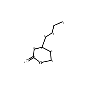 CCCCC1CCOC(=O)C1